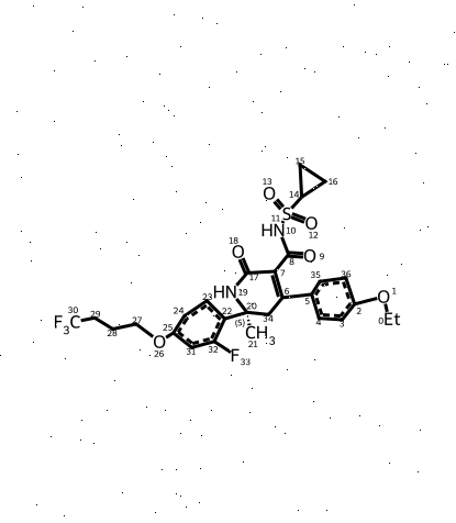 CCOc1ccc(C2=C(C(=O)NS(=O)(=O)C3CC3)C(=O)N[C@](C)(c3ccc(OCCCC(F)(F)F)cc3F)C2)cc1